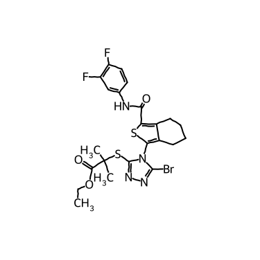 CCOC(=O)C(C)(C)Sc1nnc(Br)n1-c1sc(C(=O)Nc2ccc(F)c(F)c2)c2c1CCCC2